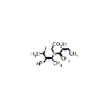 C=C(/C=C\C)N(CC(=O)OCC)/C(C)=C(/CCC)C(C)F